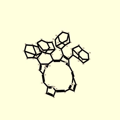 C1=CC2=NC1=CC1=NC(=C(C3C4CC5CC(C4)CC3C5)C3=NC(=CC4=NC(=C2)C=C4)C=C3C2C3CC4CC(C3)CC2C4)C(C2C3CC4CC(C3)CC2C4)=C1C1C2CC3CC(C2)CC1C3